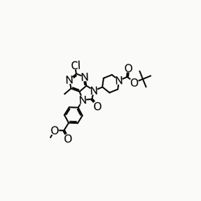 COC(=O)c1ccc(-n2c(=O)n(C3CCN(C(=O)OC(C)(C)C)CC3)c3nc(Cl)nc(C)c32)cc1